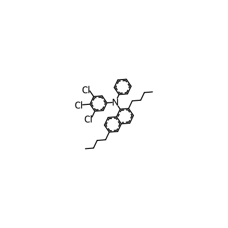 CCCCc1ccc2c(N(c3ccccc3)c3cc(Cl)c(Cl)c(Cl)c3)c(CCCC)ccc2c1